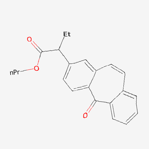 CCCOC(=O)C(CC)c1ccc2c(=O)c3ccccc3ccc2c1